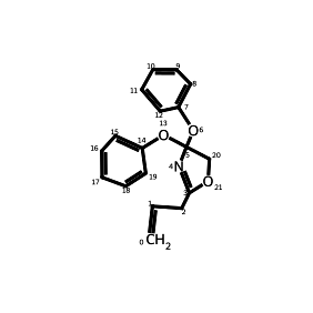 C=CCC1=NC(Oc2ccccc2)(Oc2ccccc2)CO1